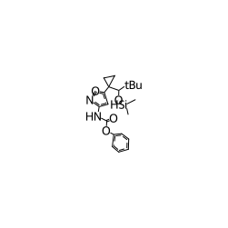 C[SiH](C)OC(C(C)(C)C)C1(c2cc(NC(=O)Oc3ccccc3)no2)CC1